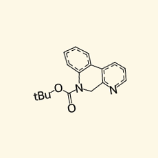 CC(C)(C)OC(=O)N1Cc2ncccc2-c2ccccc21